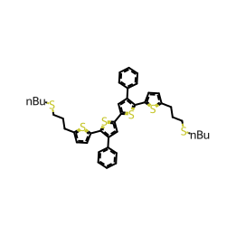 CCCCSCCCc1ccc(-c2sc(-c3cc(-c4ccccc4)c(-c4ccc(CCCSCCCC)s4)s3)cc2-c2ccccc2)s1